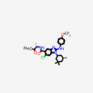 COC(=O)[C@H](C)NC(=O)c1cc2nc(Nc3ccc(OC(F)(F)F)cc3)n(C3C[C@@H](C)CC(C)(C)C3)c2cc1Cl